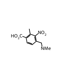 CNCc1ccc(C(=O)O)c(C)c1[N+](=O)[O-]